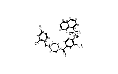 Cc1cc(C(=O)N2CCN(Cc3ccc(Cl)cc3Cl)CC2)ccc1NS(=O)(=O)c1cccc2cccnc12